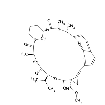 COC[C@@]12C/C1=C\c1ccc3ccc(nc3c1)[C@@H](C)N(C)C(=O)[C@@H]1CCCN(N1)C(=O)[C@H](C)NC(=O)[C@H](C(C)C)OC2O